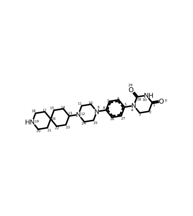 O=C1CCN(c2ccc(N3CCN(C4CCC5(CCNCC5)CC4)CC3)cc2)C(=O)N1